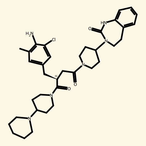 Cc1cc(C[C@@H](CC(=O)N2CCC(N3CCc4ccccc4NC3=O)CC2)C(=O)N2CCC(N3CCCCC3)CC2)cc(Cl)c1N